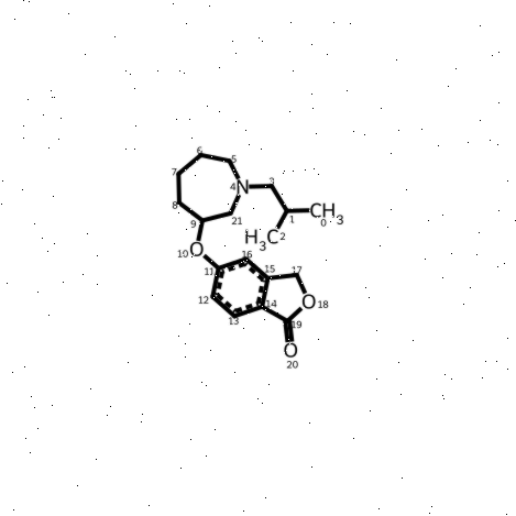 CC(C)CN1CCCCC(Oc2ccc3c(c2)COC3=O)C1